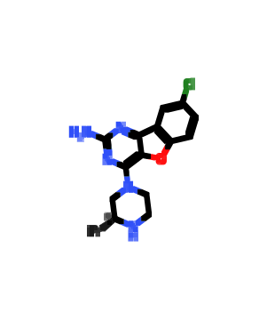 CC(C)[C@H]1CN(c2nc(N)nc3c2oc2ccc(Cl)cc23)CCN1